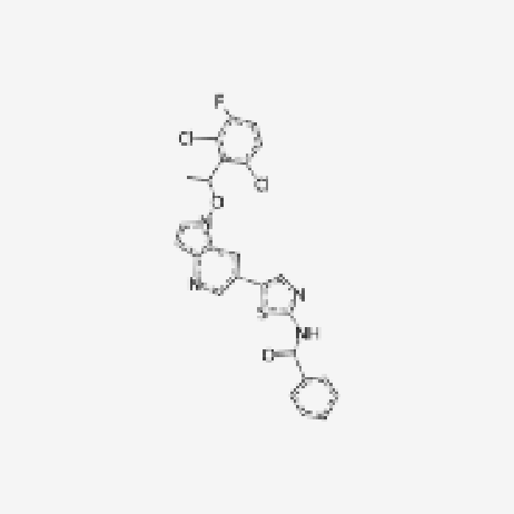 CC(On1ccc2ncc(-c3cnc(NC(=O)c4ccccc4)s3)cc21)c1c(Cl)ccc(F)c1Cl